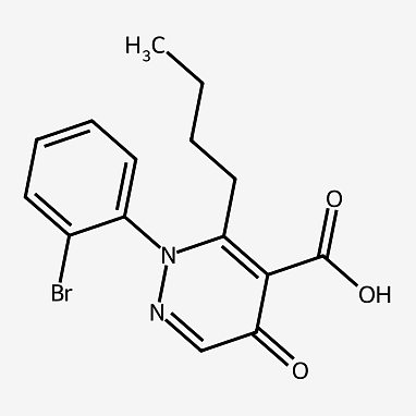 CCCCc1c(C(=O)O)c(=O)cnn1-c1ccccc1Br